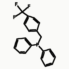 FC(F)(F)c1ccc(CP(c2ccccc2)c2ccccc2)cc1